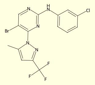 Cc1cc(C(F)(F)F)nn1-c1nc(Nc2cccc(Cl)c2)ncc1Br